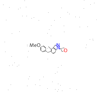 COc1ccc(Cc2ccc3c(cnn3C3COC3)c2C)cc1